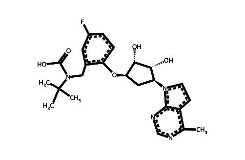 Cc1ncnc2c1ccn2[C@H]1C[C@@H](Oc2ccc(F)cc2CN(C(=O)O)C(C)(C)C)[C@H](O)[C@@H]1O